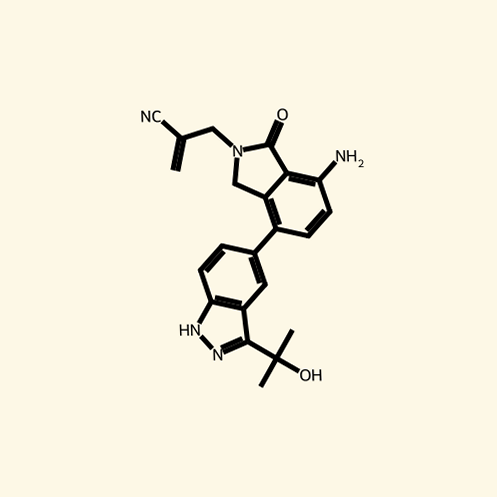 C=C(C#N)CN1Cc2c(-c3ccc4[nH]nc(C(C)(C)O)c4c3)ccc(N)c2C1=O